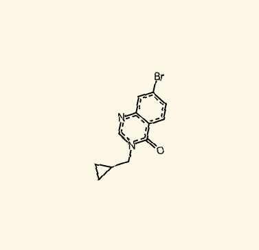 O=c1c2ccc(Br)cc2ncn1CC1CC1